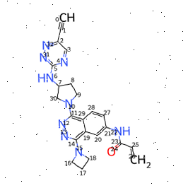 C#Cc1cnc(NC2CCN(c3nnc(N4CCC4)c4cc(NC(=O)C=C)ccc34)C2)nn1